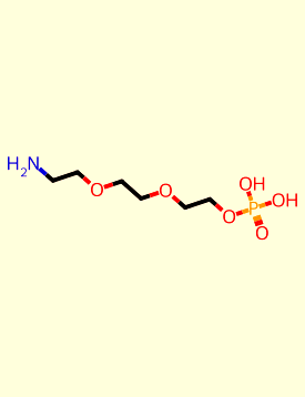 NCCOCCOCCOP(=O)(O)O